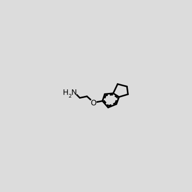 NCCOc1ccc2c(c1)CCC2